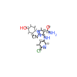 N#CC1CC(O)CCC1n1cc(C(N)=O)c(Nc2ccc(Cl)nc2)n1